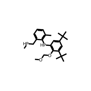 COCOc1c(Pc2c(C)cccc2CPC)cc(C(C)(C)C)cc1C(C)(C)C